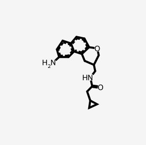 Nc1ccc2ccc3c(c2c1)CC(CNC(=O)CC1CC1)CO3